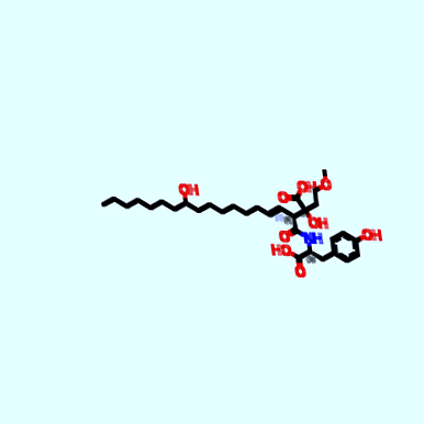 CCCCCCCC(O)CCCCCC/C=C/[C@H](C(=O)N[C@@H](Cc1ccc(O)cc1)C(=O)O)[C@@](O)(CCOC)C(=O)O